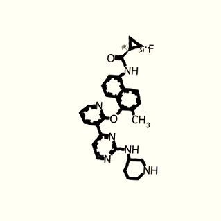 Cc1ccc2c(NC(=O)[C@H]3C[C@@H]3F)cccc2c1Oc1ncccc1-c1ccnc(NC2CCCNC2)n1